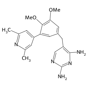 COc1cc(Cc2cnc(N)nc2N)cc(-c2cc(C)nc(C)c2)c1OC